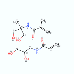 C=C(C)C(=O)NC(C)(CO)CO.C=CC(=O)NCC(O)CO